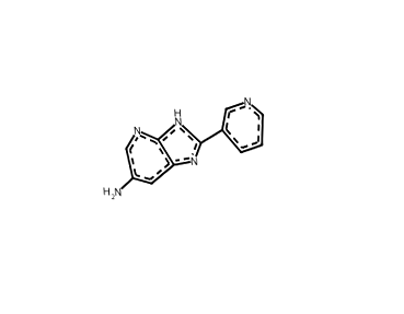 Nc1cnc2[nH]c(-c3cccnc3)nc2c1